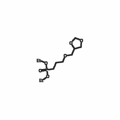 CCOP(=O)(CCCOCC1COCO1)OCC